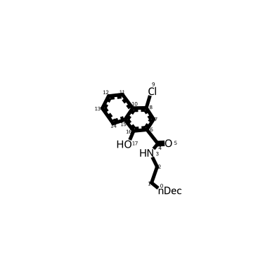 CCCCCCCCCCCCNC(=O)c1cc(Cl)c2ccccc2c1O